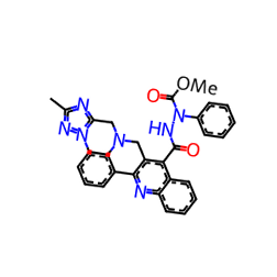 COC(=O)N(NC(=O)c1c(CN2CCn3nc(C)nc3C2)c(-c2ccccc2)nc2ccccc12)c1ccccc1